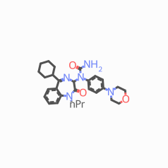 CCCN1C(=O)C(N(C(N)=O)c2ccc(N3CCOCC3)cc2)N=C(C2CCCCC2)c2ccccc21